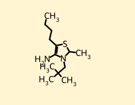 CCCCC1=C(N)N(CC(C)(C)C)C(C)S1